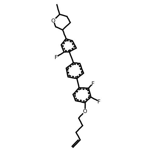 C=CCCCOc1ccc(-c2ccc(-c3ccc(C4CCC(C)OC4)cc3F)cc2)c(F)c1F